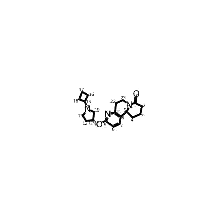 O=C1CCCC2c3ccc(O[C@@H]4CCN(C5CCC5)C4)nc3CCN12